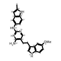 COc1ccc2[nH]cc(CCc3cnc(Nc4ccc5[nH]c(C)cc5c4)nc3N)c2c1